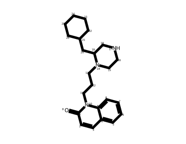 O=c1ccc2ccccc2n1CCCN1CCNCC1CC1CCCCC1